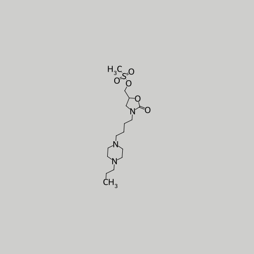 CCCN1CCN(CCCCN2CC(COS(C)(=O)=O)OC2=O)CC1